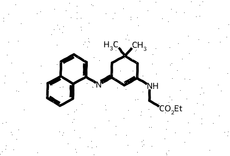 CCOC(=O)CNC1=C/C(=N/c2cccc3ccccc23)CC(C)(C)C1